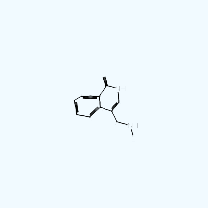 CCNCc1c[nH]c(=O)c2ccccc12